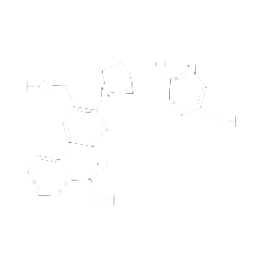 CC(=O)c1ccccc1-c1ccc(N2CC[C@H](Oc3ccc(C)cn3)C2)c(CO)c1